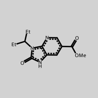 CCC(CC)n1c(=O)[nH]c2cc(C(=O)OC)cnc21